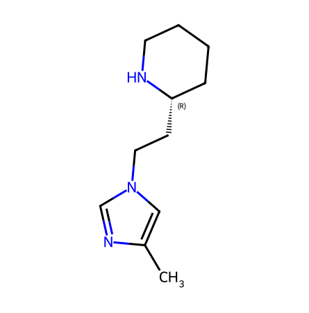 Cc1cn(CC[C@H]2CCCCN2)cn1